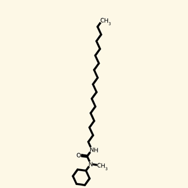 CCCCCCCCCCCCCCCCCCNC(=O)N(C)C1CCCCC1